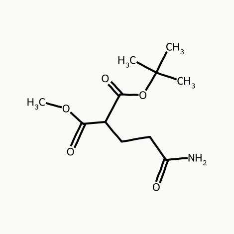 COC(=O)C(CCC(N)=O)C(=O)OC(C)(C)C